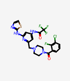 O=C(c1cccc(Cl)c1F)N1CCN(Cc2cc(NC(=O)C(F)(F)F)cc(Nc3nccs3)n2)CC1